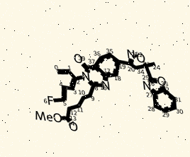 C=C/C(=C\C=C\F)n1c(CCCCC(=O)OC)nc2cc(C3=NOC(C)(c4nc5ccccc5o4)C3)ccc2c1=O